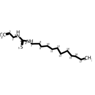 C=CCNC(=S)NCCCCCCCCCCCC